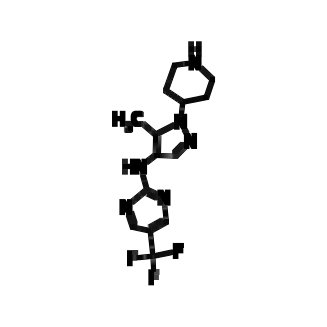 Cc1c(Nc2ncc(C(F)(F)F)cn2)cnn1C1CCNCC1